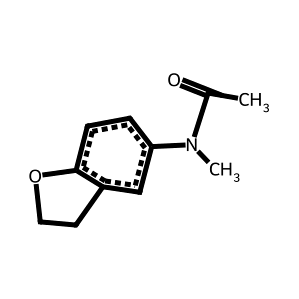 CC(=O)N(C)c1ccc2c(c1)CCO2